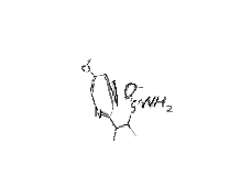 COc1cnc(C(C)C(C)[S+](N)[O-])nc1